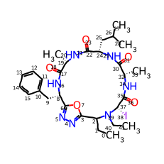 CCC1c2nnc(o2)[C@H](Cc2ccccc2)NC(=O)[C@H](C)NC(=O)[C@H](CC(C)C)NC(=O)[C@H](C)NC(=O)[C@H](I)N1CC